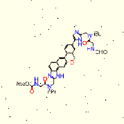 CCCN(Cc1nc2ccc3cc4c(cc3c2[nH]1)OCc1cc(-c2cnc(CN(C(=O)CNC=O)[C@@H](C)CC)[nH]2)ccc1-4)C(=O)CNC(=O)OC